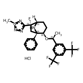 C[C@H](O[C@@H]1CC[C@@H]2N[C@@]1(c1ccccc1)C[C@@]2(F)c1nnn(C)n1)c1cc(C(F)(F)F)cc(C(F)(F)F)c1.Cl